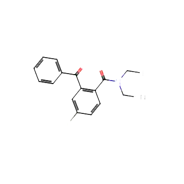 CC(C)CN(CC#N)C(=O)c1ccc(Br)cc1C(=O)c1ccccc1